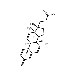 C[C@]12C=CC(=O)C=C1C=C[C@@H]1[C@@H]2C=C[C@@]2(C)[C@H]1CC[C@@]2(O)CCC(=O)[O-].[K+]